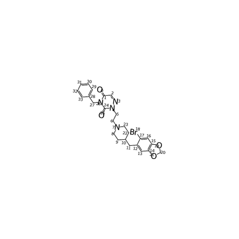 O=c1cnn(CCN2CCC(Cc3cc4c(cc3Br)OCO4)CC2)c(=O)n1Cc1ccccc1